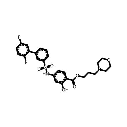 O=C(OCCCN1CCOCC1)c1ccc(NS(=O)(=O)c2cccc(-c3cc(F)ccc3F)c2)cc1O